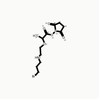 CC(OCCNCCCBr)C(=O)ON1C(=O)CCC1=O